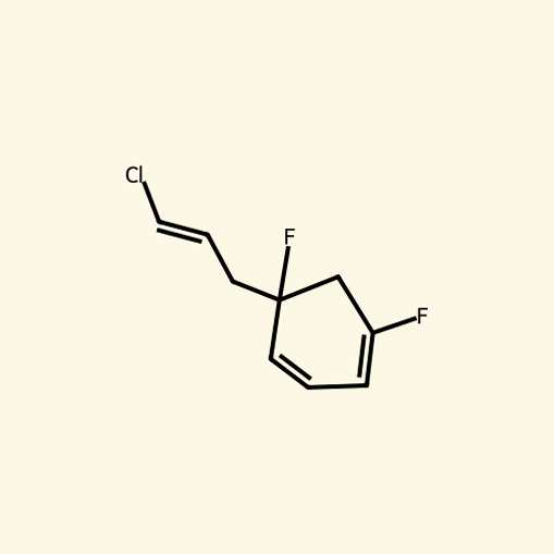 FC1=CC=CC(F)(C/C=C/Cl)C1